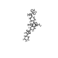 CC(=O)Nc1ccc(C(=O)Nc2cc(-c3nc(-c4ccccc4)cs3)ccc2N)cc1